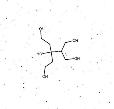 OCCC(O)(CCO)C(CO)CO